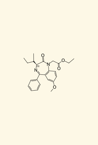 CCOC(=O)CN1C(=O)[C@H](C(C)CC)N=C(c2ccccc2)c2cc(OC)ccc21